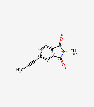 CC#Cc1ccc2c(c1)C(=O)N(C)C2=O